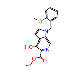 CCOC(=O)c1ncc2c(ccn2Cc2ccccc2OC)c1O